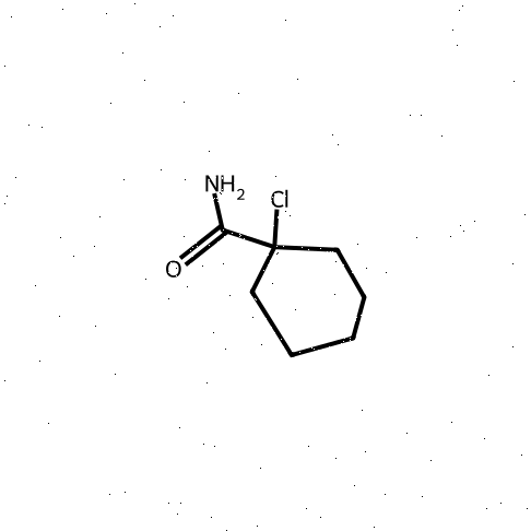 NC(=O)C1(Cl)CCCCC1